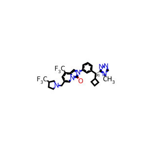 Cn1cnnc1[C@@H](c1cccc(-n2cc3c(C(F)(F)F)cc(CN4CCC(C(F)(F)F)C4)cn3c2=O)c1)C1CCC1